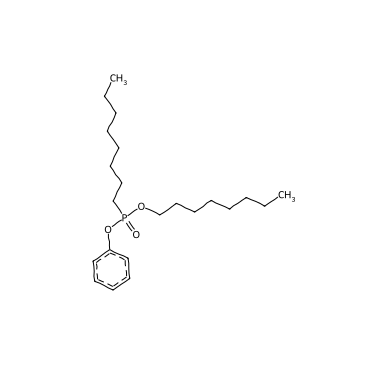 CCCCCCCCOP(=O)(CCCCCCCC)Oc1ccccc1